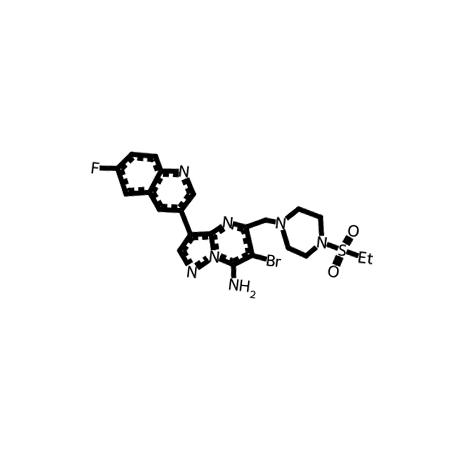 CCS(=O)(=O)N1CCN(Cc2nc3c(-c4cnc5ccc(F)cc5c4)cnn3c(N)c2Br)CC1